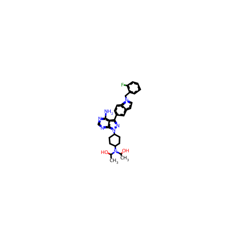 CC(O)N(C(C)O)C1CCC(n2nc(-c3ccc4c(ccn4Cc4ccccc4F)c3)c3c(N)ncnc32)CC1